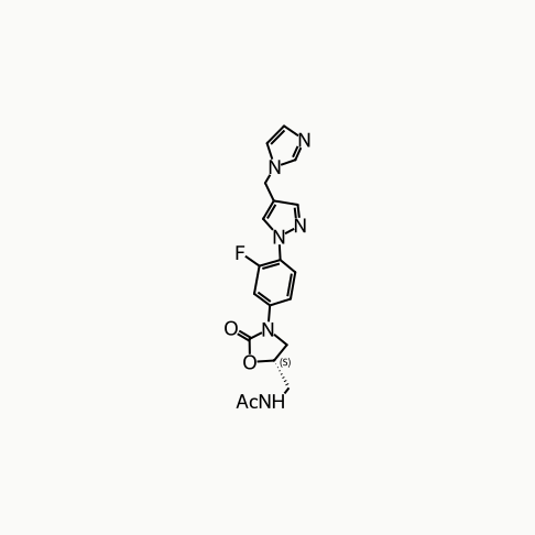 CC(=O)NC[C@H]1CN(c2ccc(-n3cc(Cn4ccnc4)cn3)c(F)c2)C(=O)O1